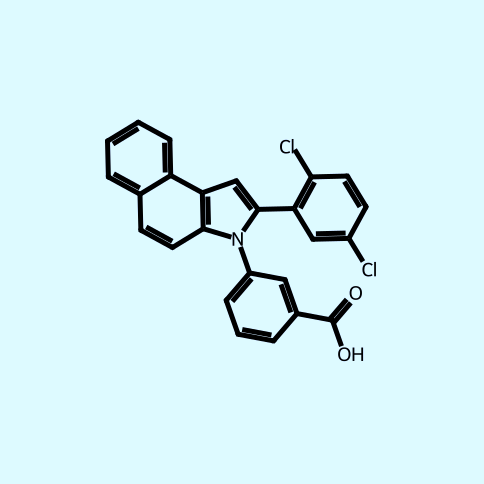 O=C(O)c1cccc(-n2c(-c3cc(Cl)ccc3Cl)cc3c4ccccc4ccc32)c1